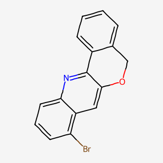 Brc1cccc2nc3c(cc12)OCc1ccccc1-3